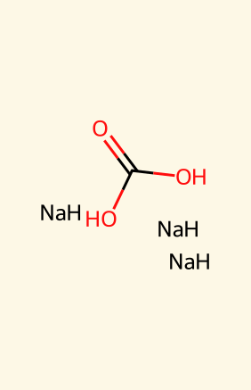 O=C(O)O.[NaH].[NaH].[NaH]